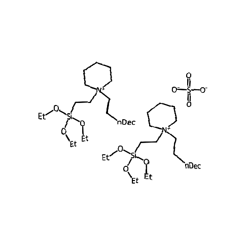 CCCCCCCCCCCC[N+]1(CC[Si](OCC)(OCC)OCC)CCCCC1.CCCCCCCCCCCC[N+]1(CC[Si](OCC)(OCC)OCC)CCCCC1.O=S(=O)([O-])[O-]